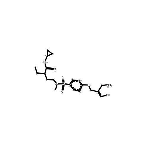 CCC(CCN(C)S(=O)(=O)c1ccc(OC/C(=C/F)CN)nc1)C(=O)NC1CC1